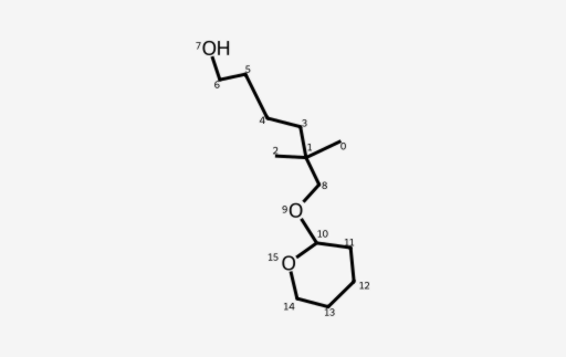 CC(C)(CCCCO)COC1CCCCO1